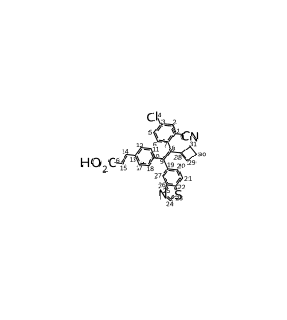 N#Cc1cc(Cl)ccc1/C(=C(\c1ccc(/C=C/C(=O)O)cc1)c1ccc2scnc2c1)C1CCC1